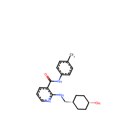 O=C(Nc1ccc(C(F)(F)F)cc1)c1cccnc1NC[C@H]1CC[C@@H](O)CC1